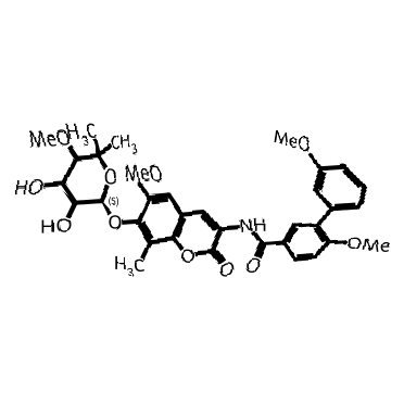 COc1cccc(-c2cc(C(=O)Nc3cc4cc(OC)c(O[C@@H]5OC(C)(C)C(OC)C(O)C5O)c(C)c4oc3=O)ccc2OC)c1